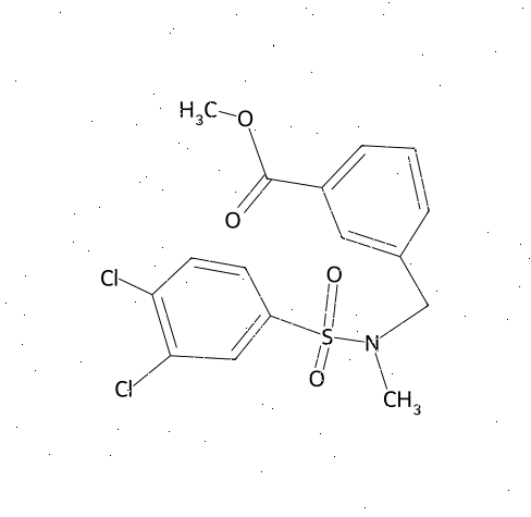 COC(=O)c1cccc(CN(C)S(=O)(=O)c2ccc(Cl)c(Cl)c2)c1